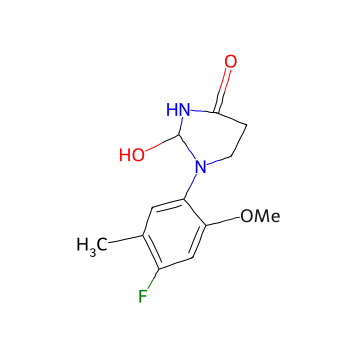 COc1cc(F)c(C)cc1N1CCC(=O)NC1O